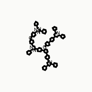 c1ccc(-c2cc(-c3ccccc3)nc(-c3ccc(-c4ccc(Oc5ccc(-c6ccc(-c7cc(-c8ccccc8)nc(-c8ccccc8)c7)cc6)cc5)c(-c5ccc(-c6cc(-c7ccc(Oc8ccc(-c9nc(-c%10ccccc%10)nc(-c%10ccccc%10)n9)cc8)cc7)nc(-c7ccccc7)n6)cc5)c4)cc3)c2)cc1